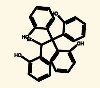 CCC(c1ccccc1O)C(c1ccccc1O)(c1ccccc1O)c1ccccc1O